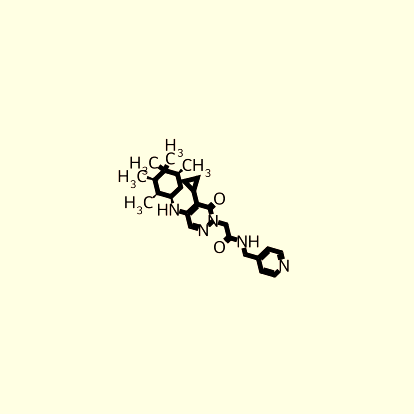 C[C@@H]1[C@@H](C)C(C)(C)[C@@H](C)C[C@H]1Nc1cnn(CC(=O)NCc2ccncc2)c(=O)c1C1CC1